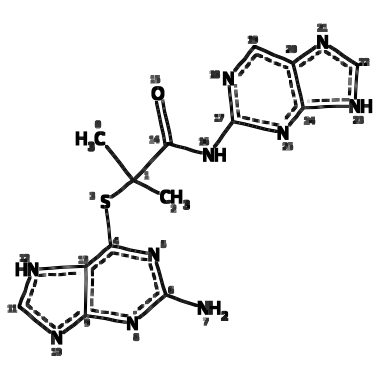 CC(C)(Sc1nc(N)nc2nc[nH]c12)C(=O)Nc1ncc2nc[nH]c2n1